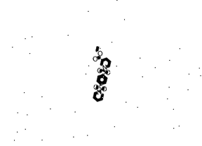 CCOC(=O)[C@@H]1CCCN(S(=O)(=O)c2ccc(S(=O)(=O)N3CCCCC3)cc2)C1